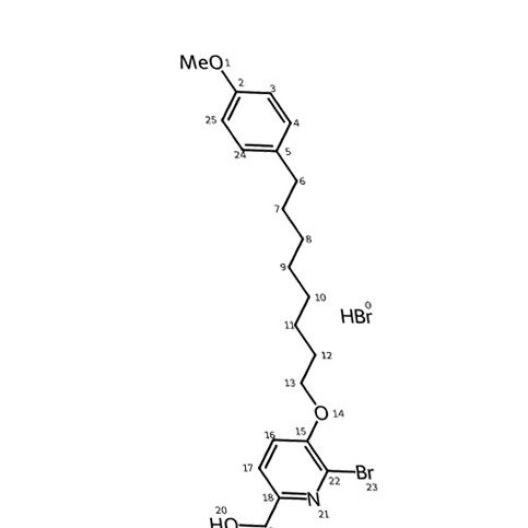 Br.COc1ccc(CCCCCCCCOc2ccc(CO)nc2Br)cc1